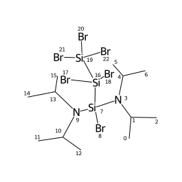 CC(C)N(C(C)C)[Si](Br)(N(C(C)C)C(C)C)[Si](Br)(Br)[Si](Br)(Br)Br